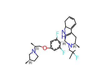 C[C@@H]1CCN([C@@H](C)COc2cc(F)c([C@@H]3C4=C(C[C@@H](C)N3CC(C)(C)F)C3=CC=CCC3N4)c(F)c2)C1